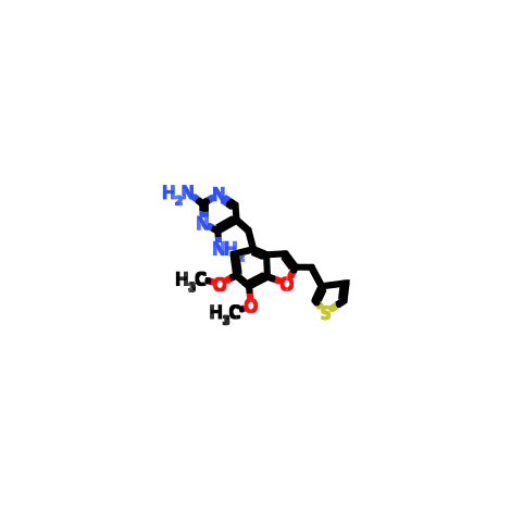 COc1cc(Cc2cnc(N)nc2N)c2cc(Cc3ccsc3)oc2c1OC